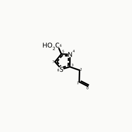 C=CCc1nc(C(=O)O)cs1